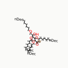 CCCCCCCCCCCCCCCCOC[C@@H](O)[C@@H](OCCCCCCCCCCCCCCCC)[C@H](OCCCCCCCCCCCCCCCC)[C@@H](OCCCCCCCCCCCCCCCC)C(=O)Br